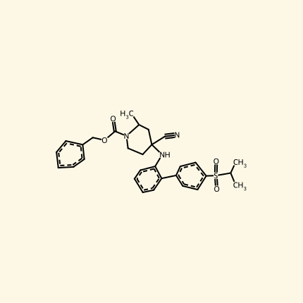 CC1CC(C#N)(Nc2ccccc2-c2ccc(S(=O)(=O)C(C)C)cc2)CCN1C(=O)OCc1ccccc1